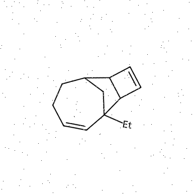 CCC12C=CCCC(C1)C1C=CC12